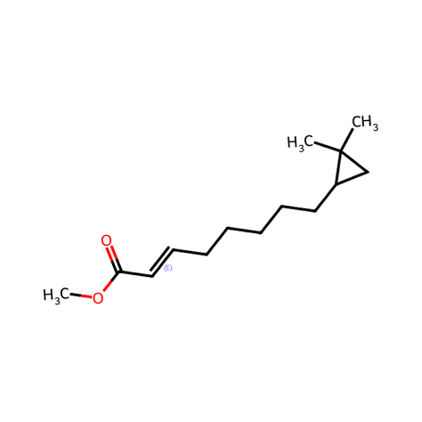 COC(=O)/C=C/CCCCCC1CC1(C)C